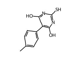 Cc1ccc(-c2c(O)nc(S)nc2O)cc1